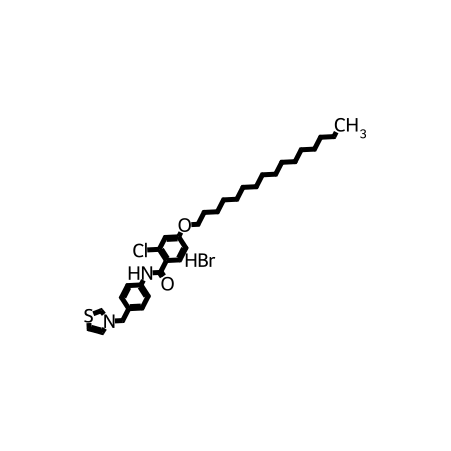 Br.CCCCCCCCCCCCCCCCOc1ccc(C(=O)Nc2ccc(CN3C=CSC3)cc2)c(Cl)c1